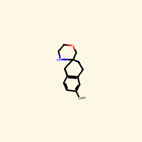 COc1ccc2c(c1)CCC1(COCCN1)C2